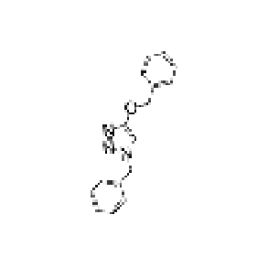 c1ccc(COc2cn(Cc3ccccc3)nn2)cc1